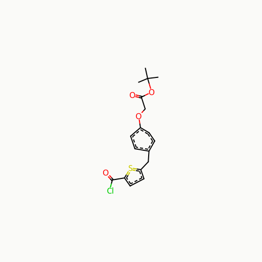 CC(C)(C)OC(=O)COc1ccc(Cc2ccc(C(=O)Cl)s2)cc1